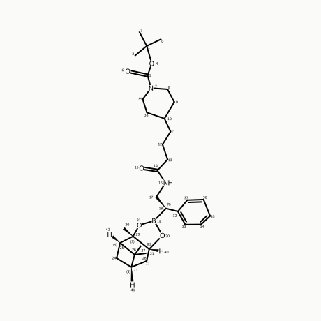 CC(C)(C)OC(=O)N1CCC(CCCC(=O)NC[C@H](B2O[C@@H]3C[C@@H]4C[C@@H](C4(C)C)[C@]3(C)O2)c2ccccc2)CC1